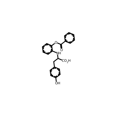 O=C(Oc1ccccc1NC(Cc1ccc(O)cc1)C(=O)O)c1ccccc1